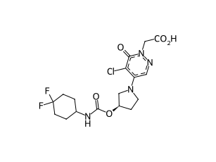 O=C(O)Cn1ncc(N2CC[C@@H](OC(=O)NC3CCC(F)(F)CC3)C2)c(Cl)c1=O